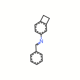 C(=N\c1ccc2c(c1)CC2)/c1ccccc1